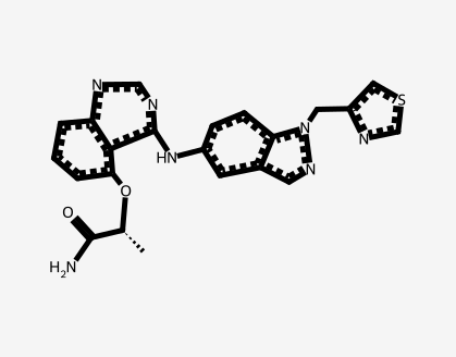 C[C@@H](Oc1cccc2ncnc(Nc3ccc4c(cnn4Cc4cscn4)c3)c12)C(N)=O